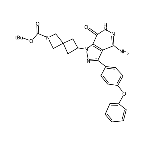 CC(C)(C)OC(=O)N1CC2(CC(n3nc(-c4ccc(Oc5ccccc5)cc4)c4c(N)n[nH]c(=O)c43)C2)C1